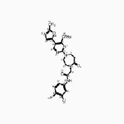 COc1nc(N2CCC(=O)N(CC(=O)Nc3ccc(F)c(Cl)c3)CC2)ncc1-c1cnc(C)o1